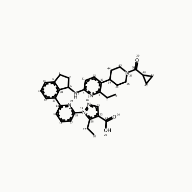 CCc1nc(NC2CCc3cccc(-c4cccc(-n5ncc(C(=O)O)c5CC)n4)c32)ccc1C1CCN(C(=O)C2CC2)CC1